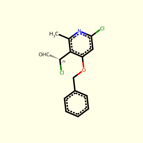 Cc1nc(Cl)cc(OCc2ccccc2)c1[C@H](Cl)C=O